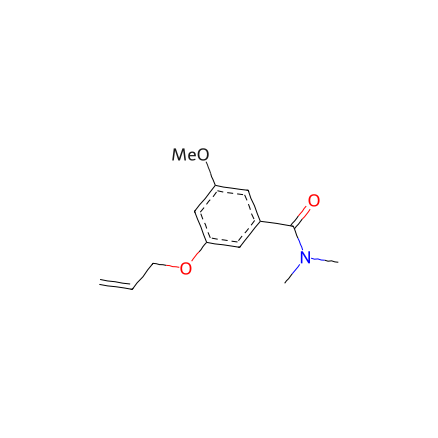 C=CCOc1cc(OC)cc(C(=O)N(C)C)c1